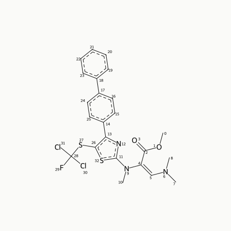 COC(=O)C(=CN(C)C)N(C)c1nc(-c2ccc(-c3ccccc3)cc2)c(SC(F)(Cl)Cl)s1